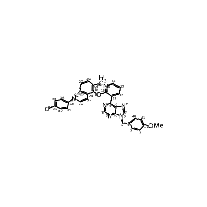 COc1ccc(Cn2cnc3c(-c4cccnc4Oc4c(C)ccc5c4C=CN(c4ccc(Cl)cc4)C5)ncnc32)cc1